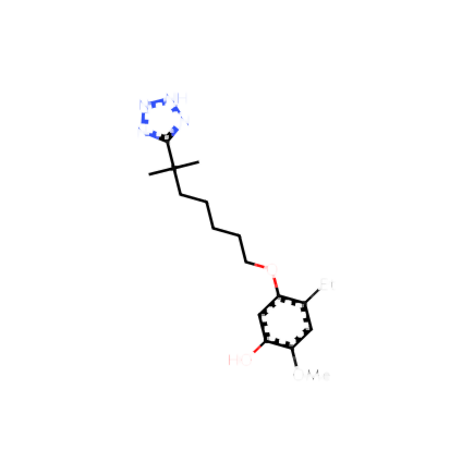 CCc1cc(OC)c(O)cc1OCCCCCC(C)(C)c1nn[nH]n1